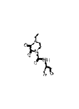 CCN1CCN(C(=O)NC([C]=O)CCl)C(=O)C1=O